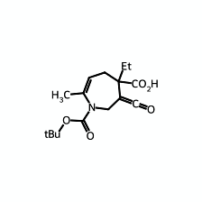 CCC1(C(=O)O)CC=C(C)N(C(=O)OC(C)(C)C)CC1=C=O